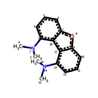 CN(C)c1cccc2sc3cccc(N(C)C)c3c12